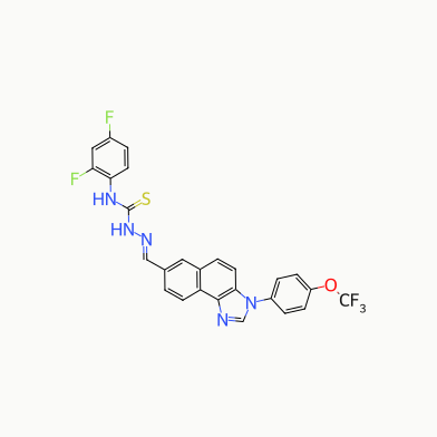 Fc1ccc(NC(=S)NN=Cc2ccc3c(ccc4c3ncn4-c3ccc(OC(F)(F)F)cc3)c2)c(F)c1